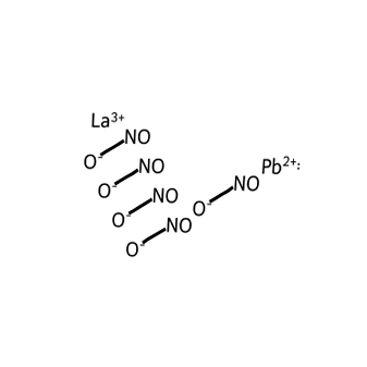 O=N[O-].O=N[O-].O=N[O-].O=N[O-].O=N[O-].[La+3].[Pb+2]